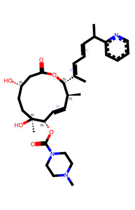 C/C(=C\C=C\C(C)c1ccccn1)[C@H]1OC(=O)C[C@@H](O)CC[C@](C)(O)[C@@H](OC(=O)N2CCN(C)CC2)/C=C/[C@@H]1C